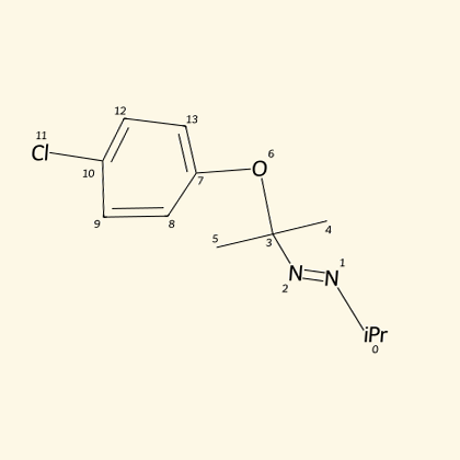 CC(C)/N=N/C(C)(C)Oc1ccc(Cl)cc1